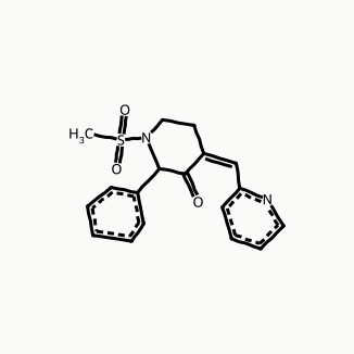 CS(=O)(=O)N1CCC(=Cc2ccccn2)C(=O)C1c1ccccc1